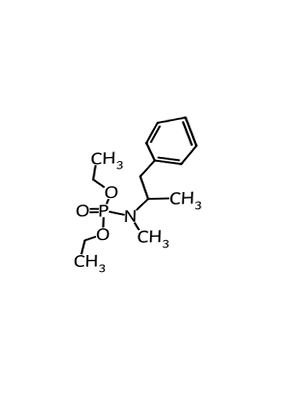 CCOP(=O)(OCC)N(C)C(C)Cc1ccccc1